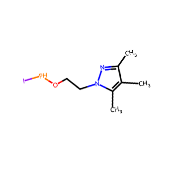 Cc1nn(CCOPI)c(C)c1C